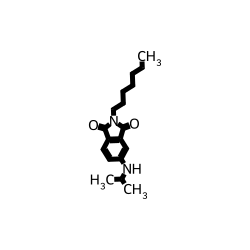 CCCCCCCN1C(=O)c2ccc(NC(C)C)cc2C1=O